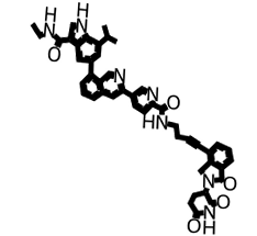 CCNC(=O)c1c[nH]c2c(C(C)C)cc(-c3cccc4cc(-c5ccc(C(=O)NCCC#Cc6cccc7c6CN(C6CCC(=O)NC6=O)C7=O)nc5)ncc34)cc12